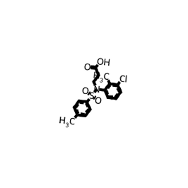 Cc1ccc(S(=O)(=O)N(CCC(=O)O)c2cccc(Cl)c2C)cc1